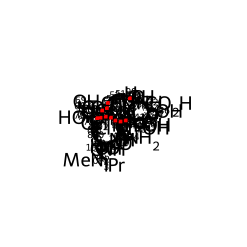 CN[C@H](CC(C)C)C(=O)NC1C(=O)N[C@@H](CC(N)=O)C(=O)N[C@H]2C(=O)N[C@H]3C(=O)N[C@H](C(=O)N[C@@H](C(=O)O)c4cc(O)cc(O)c4-c4cc3ccc4O)[C@H](O)c3ccc(c(Cl)c3)Oc3cc2cc(c3O[C@@H]2O[C@H](CO)[C@@H](O)C(O)C2O[C@H]2CC(N)[C@H](O)[C@H](C)O2)Oc2ccc(cc2Cl)[C@H]1O